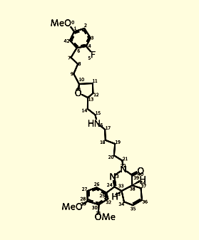 COc1ccc(F)c(CCCC2CCC(CCNCCCCCN3N=C(c4ccc(OC)c(OC)c4)[C@H]4CC=CC[C@H]4C3=O)O2)c1